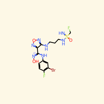 N=S(=O)(CF)NCCCNc1nonc1/C(=N/O)Nc1ccc(F)c(Br)c1